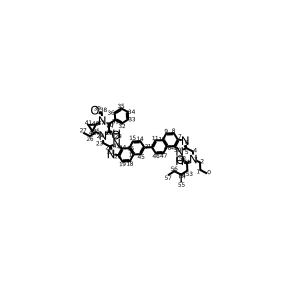 CCCN(Cc1nc2ccc3cc(-c4ccc5c(ccc6nc(CN(CCC)C(=O)[C@@H](c7ccccc7)N(C=O)C7CC7)[nH]c65)c4)ccc3c2[nH]1)C(=O)C[C@@H](C)CC